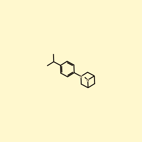 CC(C)c1ccc(N2CC3CC(C2)N3C)cc1